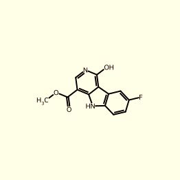 COC(=O)c1cnc(O)c2c1[nH]c1ccc(F)cc12